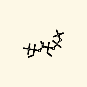 CCC(C)(O[Si](C)(C)O[Si](C)(C)C)[SiH](C)OC(C)(CC)[Si](C)(C)C